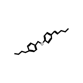 CCCC=Cc1ccc(OCc2ccc(CCCC)cc2)cc1